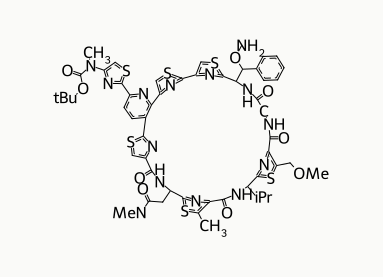 CNC(=O)CC1NC(=O)c2csc(n2)-c2ccc(-c3nc(N(C)C(=O)OC(C)(C)C)cs3)nc2-c2csc(n2)-c2csc(n2)C(C(ON)c2ccccc2)NC(=O)CNC(=O)c2nc(sc2COC)C(C(C)C)NC(=O)c2nc1sc2C